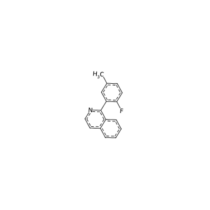 Cc1ccc(F)c(-c2nccc3ccccc23)c1